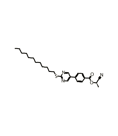 CCCCCCCCCCCCSc1ncc(-c2ccc(C(=O)O[C@H](C)C#N)cc2)cn1